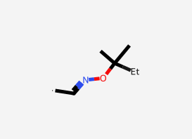 [CH2]C=NOC(C)(C)CC